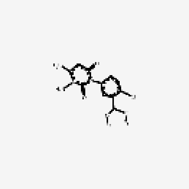 CCOC(OCC)c1cc(-n2c(=O)cc(C(F)(F)F)n(N)c2=O)ccc1Cl